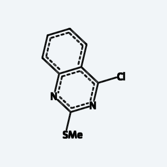 CSc1nc(Cl)c2ccccc2n1